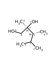 CC(C)[C@@H](C)[C@](C)(O)CO